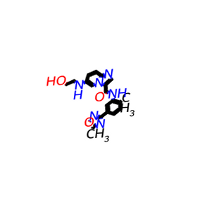 Cc1nc(-c2ccc(C)c(NC(=O)c3cnc4ccc(NCCO)cn34)c2)no1